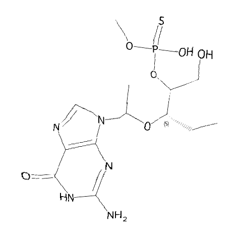 CC[C@H](OC(C)n1cnc2c(=O)[nH]c(N)nc21)C(CO)OP(O)(=S)OC